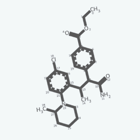 CCOC(=O)c1ccc(C(C(N)=O)C(C)c2cc(Cl)ccc2N2CCCCC2C)cc1